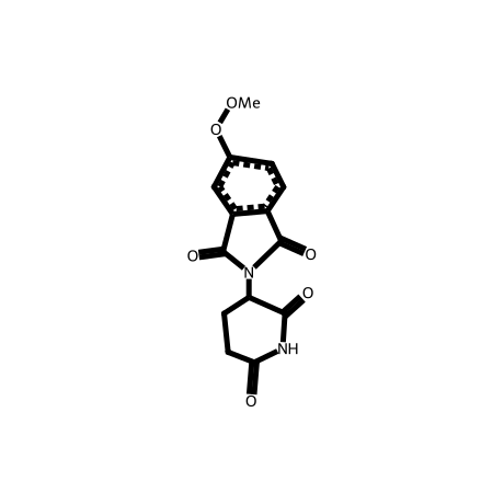 COOc1ccc2c(c1)C(=O)N(C1CCC(=O)NC1=O)C2=O